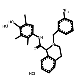 Cc1cc(NC(=O)C2c3ccccc3CCN2Cc2cccc(N)c2)c(C)c(C)c1O.Cl.Cl